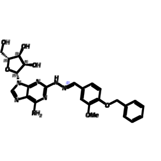 COc1cc(/C=N/Nc2nc(N)c3ncn([C@@H]4O[C@H](CO)[C@@H](O)[C@H]4O)c3n2)ccc1OCc1ccccc1